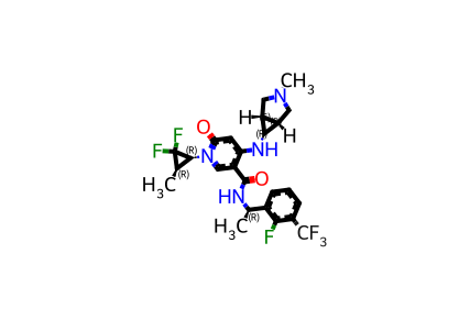 C[C@@H]1[C@@H](n2cc(C(=O)N[C@H](C)c3cccc(C(F)(F)F)c3F)c(N[C@@H]3[C@@H]4CN(C)C[C@@H]43)cc2=O)C1(F)F